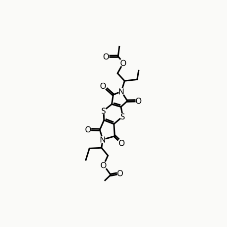 CCC(COC(C)=O)n1c(=O)c2sc3c(=O)n(C(CC)COC(C)=O)c(=O)c3sc2c1=O